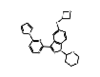 c1cnn(-c2ccnc(-c3nn(C4CCCCO4)c4ccc(OC5COC5)cc34)n2)c1